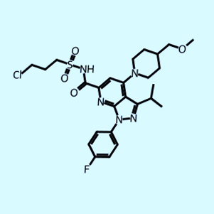 COCC1CCN(c2cc(C(=O)NS(=O)(=O)CCCCl)nc3c2c(C(C)C)nn3-c2ccc(F)cc2)CC1